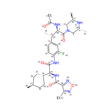 CCC(=O)N[C@@H](C(=O)N1C[C@@H](C)N[C@H](C)C1)[C@@H](C)c1ccc(NC(=O)[C@@H](NC(=O)c2nonc2CC)[C@H]2CC[C@H](C)CC2)c(F)c1